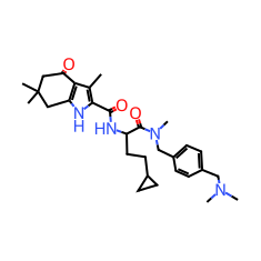 Cc1c(C(=O)NC(CCC2CC2)C(=O)N(C)Cc2ccc(CN(C)C)cc2)[nH]c2c1C(=O)CC(C)(C)C2